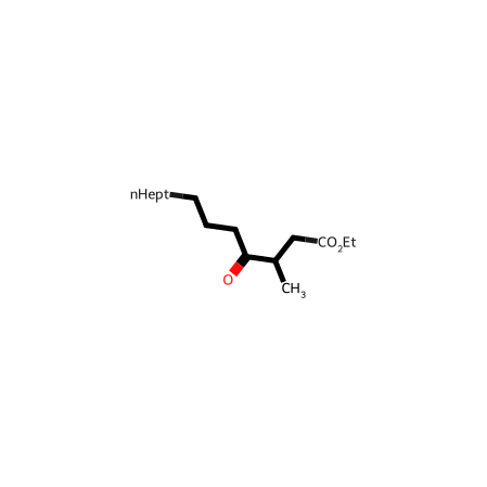 CCCCCCCCCCC(=O)C(C)CC(=O)OCC